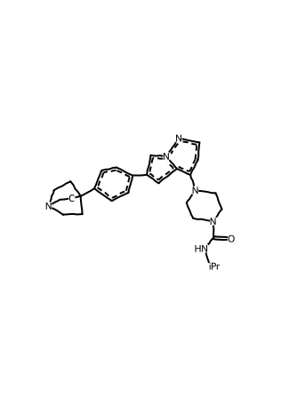 CC(C)NC(=O)N1CCN(c2ccnn3cc(-c4ccc(C56CCN(CC5)CC6)cc4)cc23)CC1